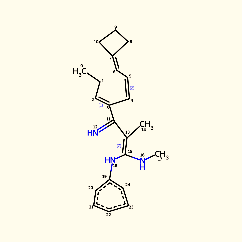 CC/C=C(\C=C/C=C1CCC1)C(=N)/C(C)=C(/NC)Nc1ccccc1